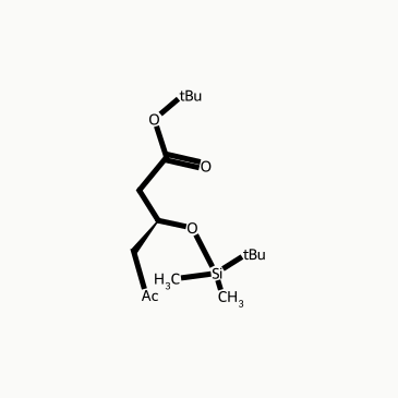 CC(=O)C[C@@H](CC(=O)OC(C)(C)C)O[Si](C)(C)C(C)(C)C